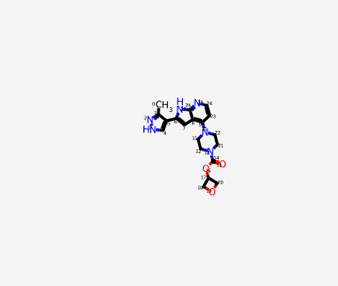 Cc1n[nH]cc1-c1cc2c(N3CCN(C(=O)OC4COC4)CC3)ccnc2[nH]1